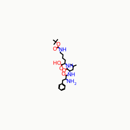 CC(C)CC(NC(=O)C(N)Cc1ccccc1)C(=O)NC(CCCCNC(=O)OC(C)(C)C)C(=O)O